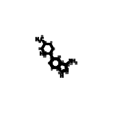 CC1CCC(c2ccc3[nH]nc(N)c3c2)NC1